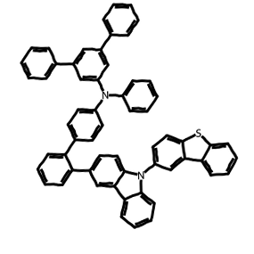 c1ccc(-c2cc(-c3ccccc3)cc(N(c3ccccc3)c3ccc(-c4ccccc4-c4ccc5c(c4)c4ccccc4n5-c4ccc5sc6ccccc6c5c4)cc3)c2)cc1